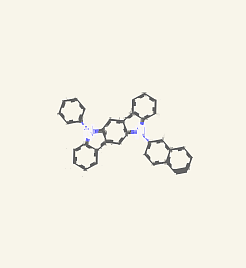 c1ccc2cc(-n3c4ccccc4c4cc5c(cc43)c3ccccc3n5-c3ccccc3)ccc2c#1